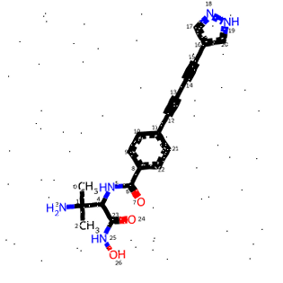 CC(C)(N)C(NC(=O)c1ccc(C#CC#Cc2cn[nH]c2)cc1)C(=O)NO